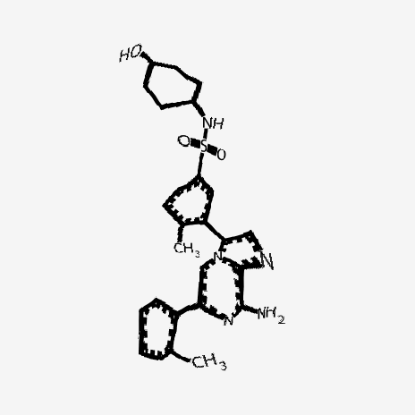 Cc1ccccc1-c1cn2c(-c3cc(S(=O)(=O)NC4CCC(O)CC4)ccc3C)cnc2c(N)n1